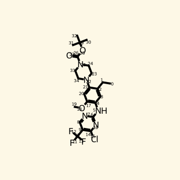 CCc1cc(Nc2ncc(C(F)(F)F)c(Cl)n2)c(OC)cc1N1CCN(C(=O)OC(C)(C)C)CC1